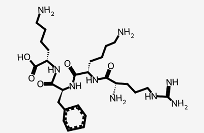 N=C(N)NCCC[C@H](N)C(=O)N[C@@H](CCCCN)C(=O)N[C@@H](Cc1ccccc1)C(=O)N[C@@H](CCCCN)C(=O)O